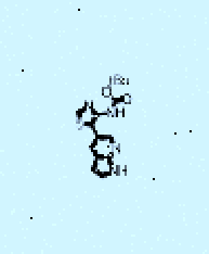 CC(C)(C)OC(=O)Nc1ncsc1-c1cnc2[nH]ccc2c1